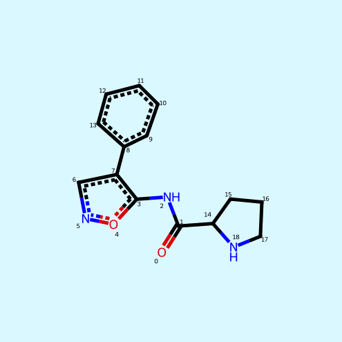 O=C(Nc1oncc1-c1ccccc1)C1CCCN1